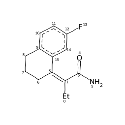 CCC(C(N)=O)=C1CCCc2ccc(F)cc21